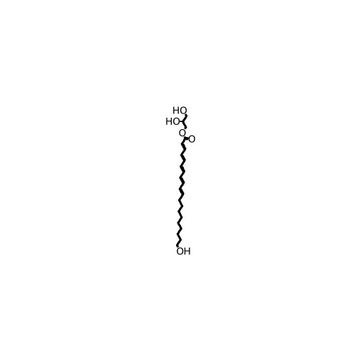 O=C(C=CC=CC=CC=CC=CCCCCCCCCCO)OC[C@@H](O)CO